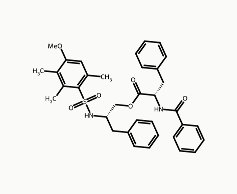 COc1cc(C)c(S(=O)(=O)N[C@H](COC(=O)[C@H](Cc2ccccc2)NC(=O)c2ccccc2)Cc2ccccc2)c(C)c1C